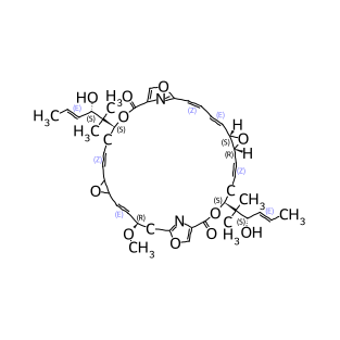 C/C=C/[C@H](O)C(C)(C)[C@@H]1C/C=C\C2OC2/C=C/[C@H](OC)Cc2nc(co2)C(=O)O[C@H](C(C)(C)[C@@H](O)/C=C/C)C/C=C\[C@H]2O[C@H]2/C=C/C=C\c2nc(co2)C(=O)O1